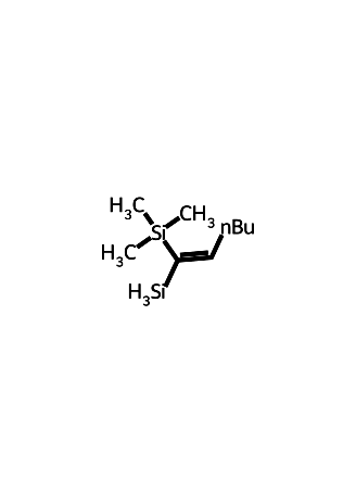 CCCCC=C([SiH3])[Si](C)(C)C